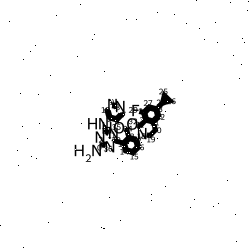 Nc1nc(Nc2ccnnc2)nc(-c2cccc(N3CCc4cc(C5CC5)cc(F)c4C3=O)c2CO)n1